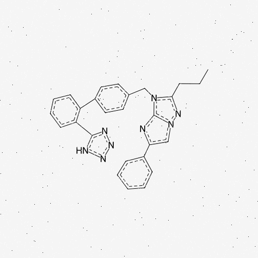 CCCc1nn2cc(-c3ccccc3)nc2n1Cc1ccc(-c2ccccc2-c2nnn[nH]2)cc1